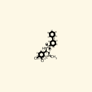 CN(C)C[C@H](NS(=O)(=O)c1cccc(-c2ccccc2)c1)c1ccc(Cl)c(Cl)c1